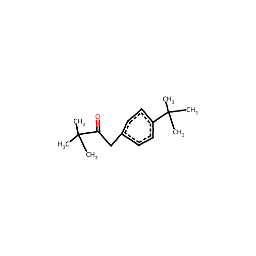 CC(C)(C)C(=O)Cc1ccc(C(C)(C)C)cc1